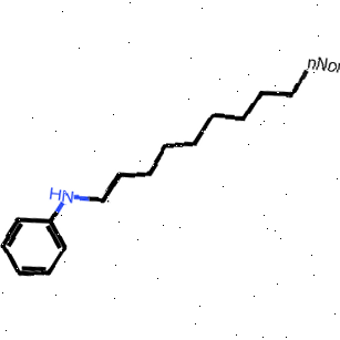 [CH2]CCCCCCCCCCCCCCCC[CH]Nc1ccccc1